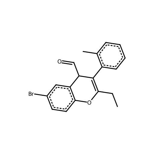 CCC1=C(c2ccccc2C)C(C=O)c2cc(Br)ccc2O1